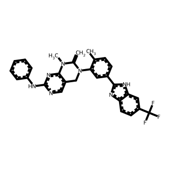 C=C1N(C)c2nc(Nc3ccccc3)ncc2CN1c1cc(-c2nc3ccc(C(F)(F)F)cc3[nH]2)ccc1C